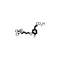 O=C(O)C=Cc1ccc(F)c(OCCCC[Si](Cl)(Cl)Cl)c1